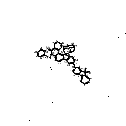 CC1(C)c2ccccc2-c2ccc(-c3ccc4c(c3)-c3ccc(-c5nc6ccccc6nc5-c5ccccc5)cc3C43C4CC5CC(C4)CC3C5)cc21